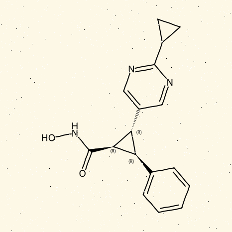 O=C(NO)[C@@H]1[C@H](c2ccccc2)[C@H]1c1cnc(C2CC2)nc1